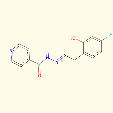 O=C(N/N=C/Cc1ccc(F)cc1O)c1ccncc1